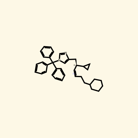 C(=C/[C@@H](Cc1cn(C(c2ccccc2)(c2ccccc2)c2ccccc2)cn1)C1CC1)/CCC1CCCCC1